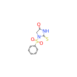 O=C1CN(S(=O)(=O)c2ccccc2)C(=S)N1